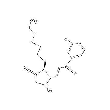 O=C(O)CCCCCC[C@@H]1C(=O)C[C@@H](O)[C@H]1C=CC(=O)c1cccc(Cl)c1